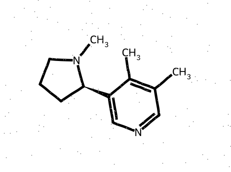 Cc1cncc([C@H]2CCCN2C)c1C